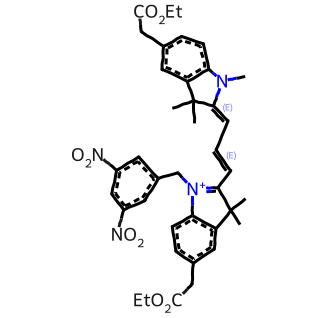 CCOC(=O)Cc1ccc2c(c1)C(C)(C)C(/C=C/C=C1/N(C)c3ccc(CC(=O)OCC)cc3C1(C)C)=[N+]2Cc1cc([N+](=O)[O-])cc([N+](=O)[O-])c1